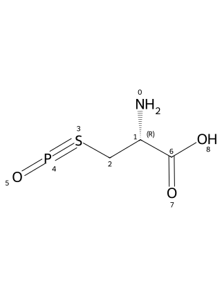 N[C@@H](CS#P=O)C(=O)O